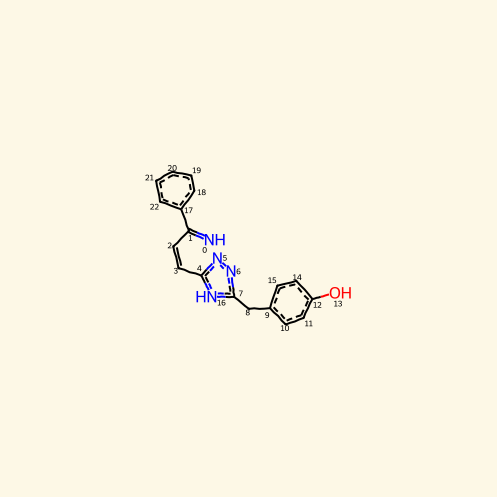 N=C(/C=C\c1nnc(Cc2ccc(O)cc2)[nH]1)c1ccccc1